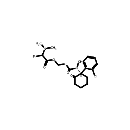 CC(C)C(C(=O)OCOC(=O)N(C)[C@]1(c2ccccc2Cl)CCCCC1=O)N(C)C